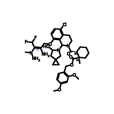 COc1ccc(COC(=O)[C@@]2(C)CCCC[C@H]2C(=O)N2CCc3c(Cl)ccc(OC/C(N)=C(\C(F)F)N(C)N)c3C2N2CC3(CC3)CC2O)c(OC)c1